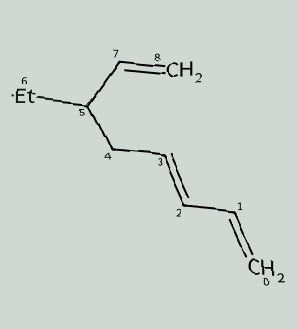 C=CC=CCC([CH]C)C=C